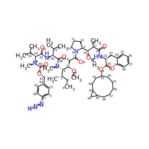 CC[C@H](C)[C@@H]([C@@H](CC(=O)N1CCC[C@H]1[C@H](OC)[C@@H](C)C(=O)N[C@@H](Cc1ccccc1)C(=O)OC1CCCCCC2CC2CC1)OC)N(C)C(=O)[C@@H](NC(=O)[C@H](C(C)C)N(C)C(=O)OCc1ccc(N=[N+]=[N-])cc1)C(C)C